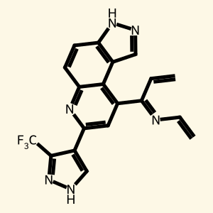 C=C/N=C(\C=C)c1cc(-c2c[nH]nc2C(F)(F)F)nc2ccc3[nH]ncc3c12